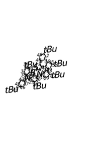 CC(C)(C)c1ccc(-c2sc3c(c2-c2ccc(C(C)(C)C)cc2)N(c2ccc(C(C)(C)C)cc2)c2cc(C(C)(C)C)cc4c2B3c2cc(C(C)(C)C)ccc2N4c2ccc(C(C)(C)C)cc2)cc1